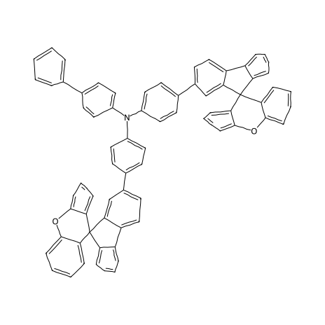 c1ccc(-c2ccc(N(c3ccc(-c4ccc5c(c4)C4(c6ccccc6Oc6ccccc64)c4ccccc4-5)cc3)c3ccc(-c4ccc5c(c4)C4(c6ccccc6Oc6ccccc64)c4ccccc4-5)cc3)cc2)cc1